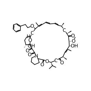 CO[C@H]1C(=O)[C@H](C)C[C@H](C)/C=C/C=C/C=C(\C)C(OCCc2ccccc2)C[C@@H]2CC[C@@H](C)C(O)(O2)C(=O)C(=O)N2CCCCC2C(=O)O[C@H](C(C)C)CC(=O)[C@H](C)/C=C(\C)[C@H]1O